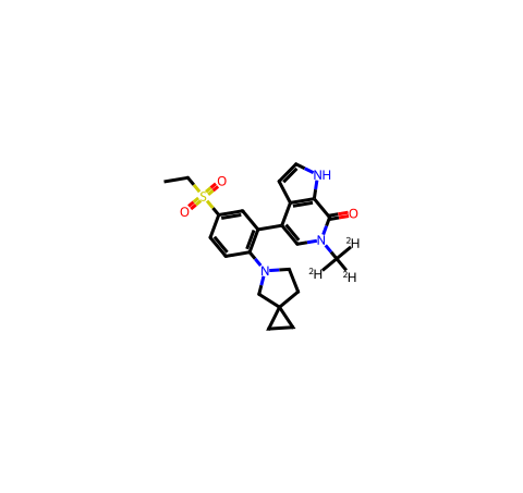 [2H]C([2H])([2H])n1cc(-c2cc(S(=O)(=O)CC)ccc2N2CCC3(CC3)C2)c2cc[nH]c2c1=O